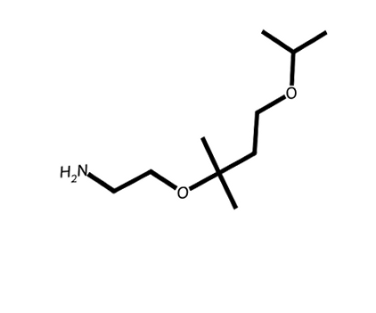 CC(C)OCCC(C)(C)OCCN